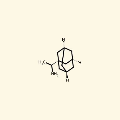 CC(N)[C@]12C[C@H]3C[C@@H](C[C@H](C3)C1)C2